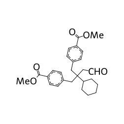 COC(=O)c1ccc(CC(CC=O)(Cc2ccc(C(=O)OC)cc2)C2CCCCC2)cc1